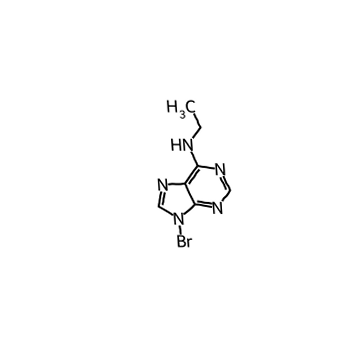 CCNc1ncnc2c1ncn2Br